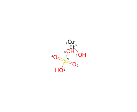 CCO.O=S(=O)(O)O.[Cu]